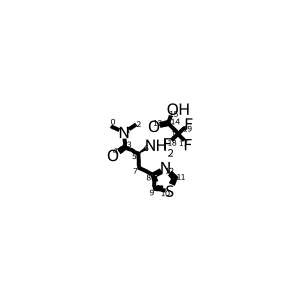 CN(C)C(=O)[C@@H](N)Cc1cscn1.O=C(O)C(F)(F)F